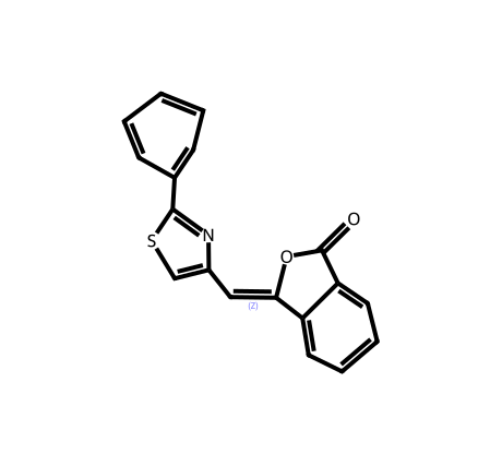 O=C1O/C(=C\c2csc(-c3ccccc3)n2)c2ccccc21